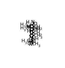 C=C1C2=C(O)[C@]3(O)C(=C)C(C(N)=O)=C[C@@H](N(C)C)[C@@H]3C[C@@H]2Cc2ccc(NS(=O)(=O)c3c(C)noc3C)c(C)c21